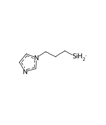 [SiH2]CCCn1ccnc1